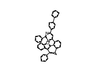 c1ccc(C2=C3CC3c3cccc(-c4cc(-c5ccc(-c6ccccc6)cc5)nc(-c5ccccc5)n4)c3-c3oc4ccccc4c32)cc1